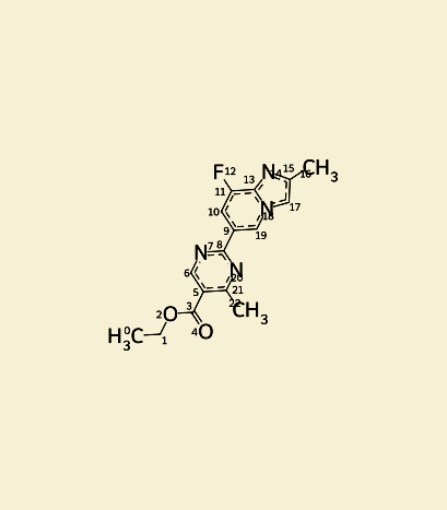 CCOC(=O)c1cnc(-c2cc(F)c3nc(C)cn3c2)nc1C